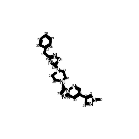 Cn1cc(-c2cnn3c(N4CCN(c5nc(Cc6ccccc6)no5)CC4)cnc3c2)cn1